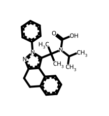 CC(C)N(C(=O)O)C(C)(C)c1c2c(nn1-c1ccccc1)CCc1ccccc1-2